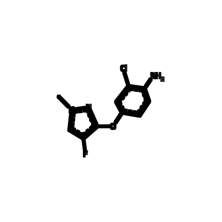 Cn1cc(F)c(Oc2ccc(N)c(Cl)c2)n1